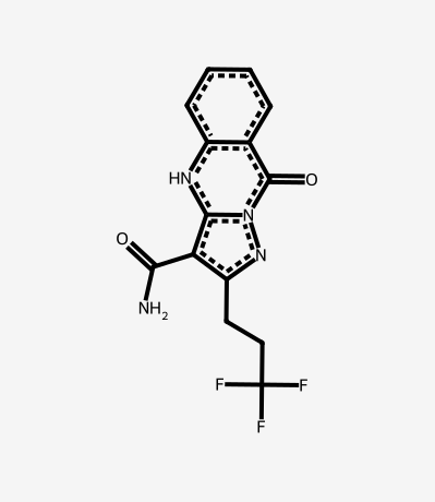 NC(=O)c1c(CCC(F)(F)F)nn2c(=O)c3ccccc3[nH]c12